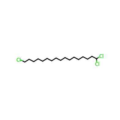 ClCCCCCCCCCCCCCCCCC(Cl)Cl